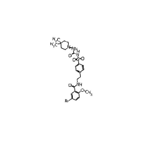 COc1ccc(Br)cc1C(=O)NCCc1ccc(S(=O)(=O)NC(=O)NN2CCC(C)(C)CC2)cc1